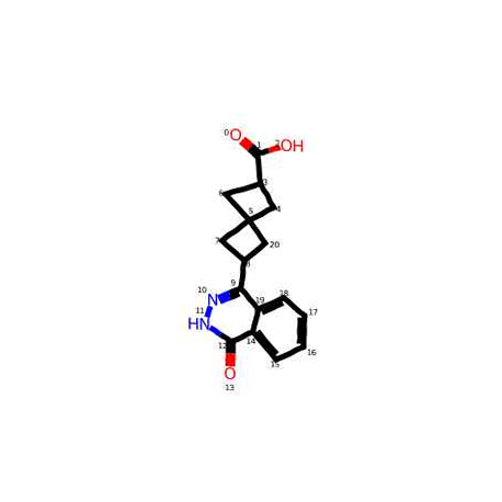 O=C(O)C1CC2(C1)CC(c1n[nH]c(=O)c3ccccc13)C2